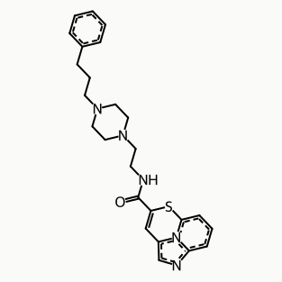 O=C(NCCN1CCN(CCCc2ccccc2)CC1)C1=Cc2cnc3cccc(n23)S1